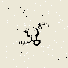 CCOC(=O)/C=C/c1ccccc1[C@@H](CC)OC[C@H]1CO1